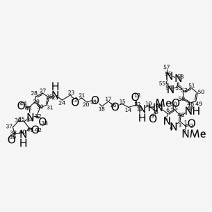 CNC(=O)c1nnc(NC(=O)CNC(=O)CCOCCOCCOCCNc2ccc3c(c2)C(=O)N(C2CCC(=O)NC2=O)C3=O)cc1Nc1cccc(-c2ncn(C)n2)c1OC